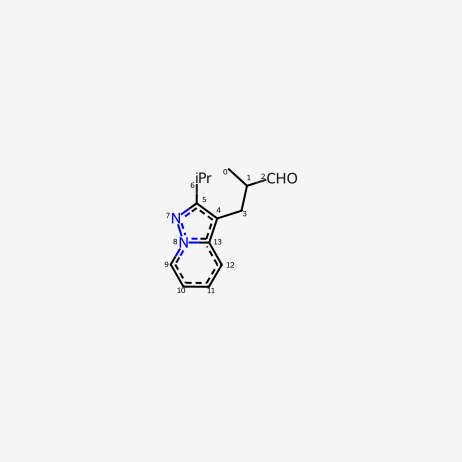 CC(C=O)Cc1c(C(C)C)nn2ccccc12